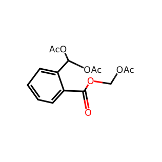 CC(=O)OCOC(=O)c1ccccc1C(OC(C)=O)OC(C)=O